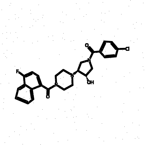 O=C(c1ccc(Cl)cc1)N1C[C@H](O)[C@@H](N2CCN(C(=O)c3ccc(F)c4ccccc34)CC2)C1